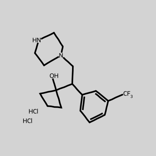 Cl.Cl.OC1(C(CN2CCNCC2)c2cccc(C(F)(F)F)c2)CCC1